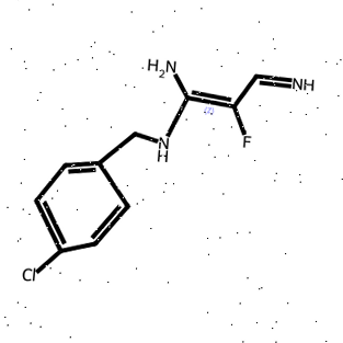 N=C/C(F)=C(\N)NCc1ccc(Cl)cc1